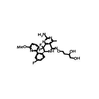 COc1cccc(-c2cc(F)ccc2[C@@H]2N/C(=N\OCCC(O)CO)c3c(C)nc(N)nc3C2(F)F)n1